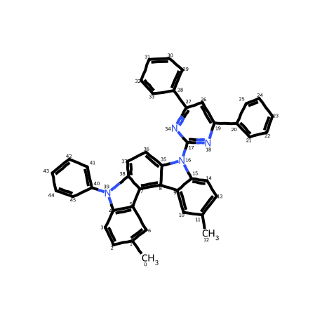 Cc1ccc2c(c1)c1c3c4cc(C)ccc4n(-c4nc(-c5ccccc5)cc(-c5ccccc5)n4)c3ccc1n2-c1ccccc1